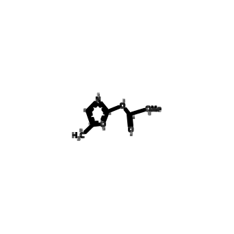 COC(=O)Oc1ncc(C)o1